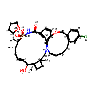 C[C@H]1C/C=C/[C@H](O)[C@@H]2CC[C@H]2CN2CCCCc3cc(Cl)ccc3COc3ccc(cc32)C(=O)NS(=O)(=O)[C@@H]1C[C@@H]1CCCO1